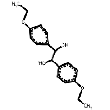 CCOc1ccc(C(O)C(O)c2ccc(OCC)cc2)cc1